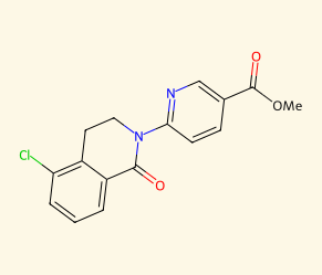 COC(=O)c1ccc(N2CCc3c(Cl)cccc3C2=O)nc1